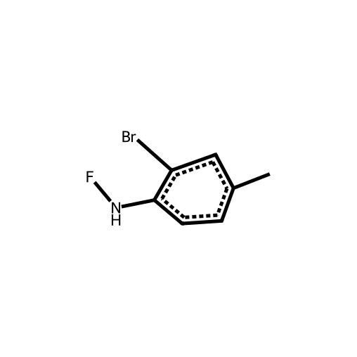 Cc1ccc(NF)c(Br)c1